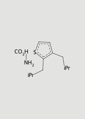 CC(C)Cc1ccsc1CC(C)C.NC(=O)O